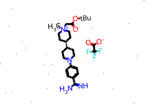 CC(C)(C)OC(=O)C[N@+]1(C)CC[C@@H](C2CCN(c3ccc(C(=N)N)cc3)CC2)CC1.O=C([O-])C(F)(F)F